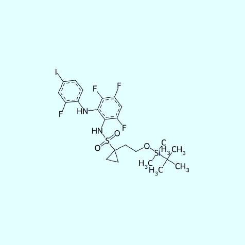 CC(C)(C)[Si](C)(C)OCCC1(S(=O)(=O)Nc2c(F)cc(F)c(F)c2Nc2ccc(I)cc2F)CC1